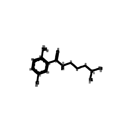 CCN(CC)CCCNC(=O)c1cc(Cl)ccc1N